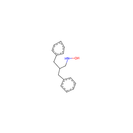 ONCC(Cc1ccccc1)Cc1ccccc1